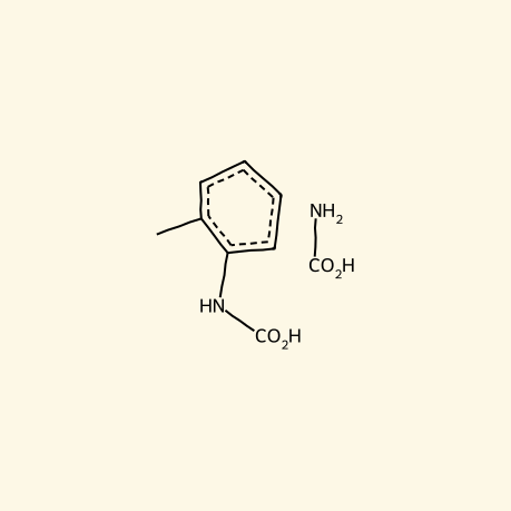 Cc1ccccc1NC(=O)O.NC(=O)O